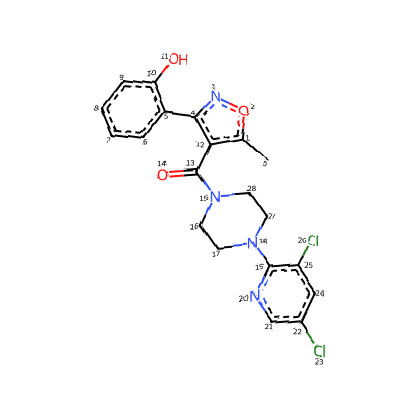 Cc1onc(-c2ccccc2O)c1C(=O)N1CCN(c2ncc(Cl)cc2Cl)CC1